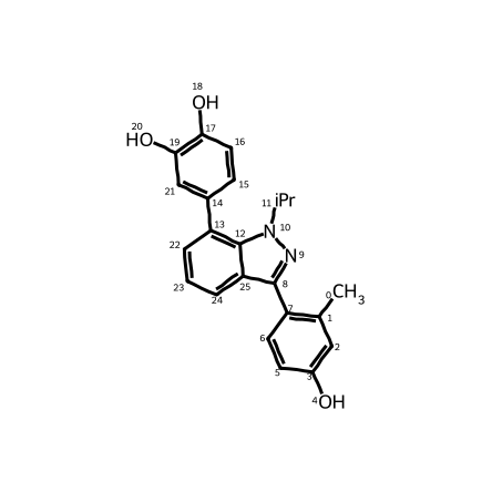 Cc1cc(O)ccc1-c1nn(C(C)C)c2c(-c3ccc(O)c(O)c3)cccc12